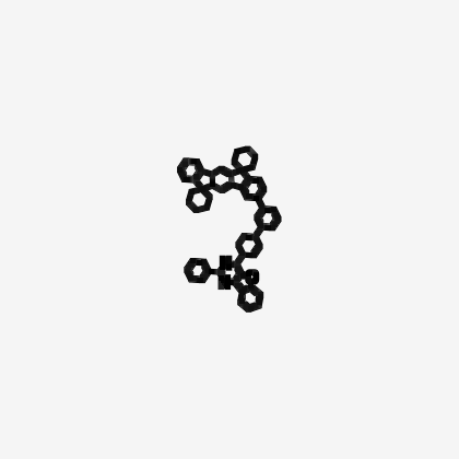 C1=CC(c2nc(-c3ccccc3)nc3c2oc2ccccc23)CC=C1c1cccc(-c2ccc3c(c2)C2=CC4C(C=C2C32CCCCC2)c2ccccc2C42CCCCC2)c1